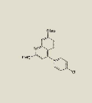 COc1ccc2c(-c3ccc(Cl)cc3)cc(C=O)nc2c1